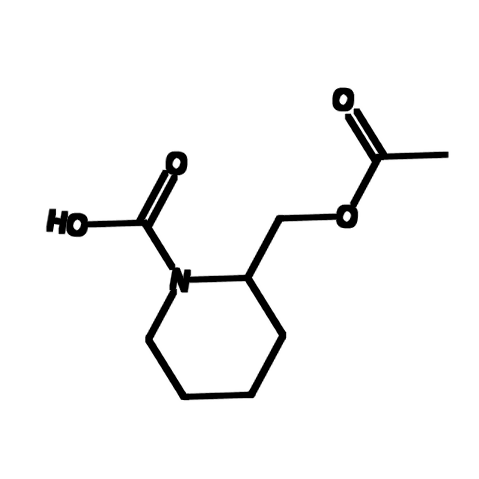 CC(=O)OCC1CCCCN1C(=O)O